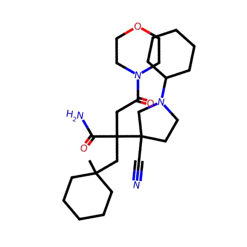 CC1(CC(CC(=O)N2CCOCC2)(C(N)=O)C2(C#N)CCN(C3CCCCC3)C2)CCCCC1